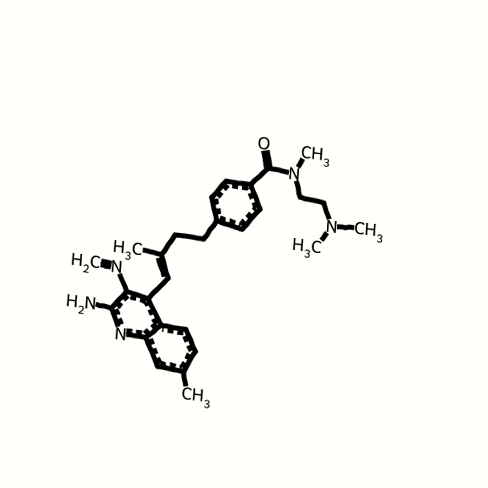 C=Nc1c(N)nc2cc(C)ccc2c1/C=C(\C)CCc1ccc(C(=O)N(C)CCN(C)C)cc1